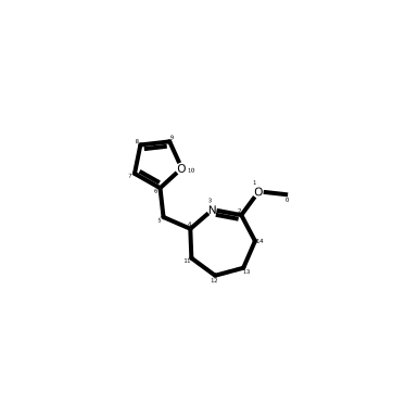 COC1=NC(Cc2ccco2)CCCC1